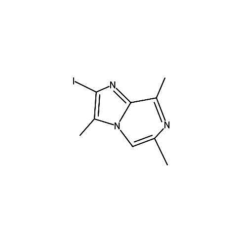 Cc1cn2c(C)c(I)nc2c(C)n1